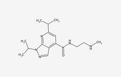 CNCCNC(=O)c1cc(C(C)C)nc2c1cnn2C(C)C